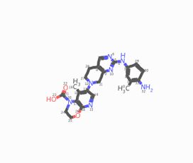 Cc1cc(Nc2ncc3c(n2)CN(c2cnc4c(c2C)N(C(=O)O)CCO4)CC3)ccc1N